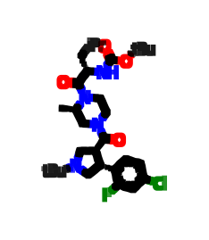 CC(C)C[C@H](NC(=O)OC(C)(C)C)C(=O)N1CCN(C(=O)[C@@H]2CN(C(C)(C)C)C[C@H]2c2ccc(Cl)cc2F)C[C@H]1C